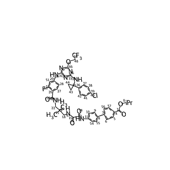 CC(C)OC(=O)c1ccc(-c2ccc(NC(=O)C(=O)NCC(C)(C)CNC(=O)c3ccc(Nc4nc(NC5(c6ccc(Cl)cc6)CC5)nc(OCC(F)(F)F)n4)cc3F)cc2)cc1